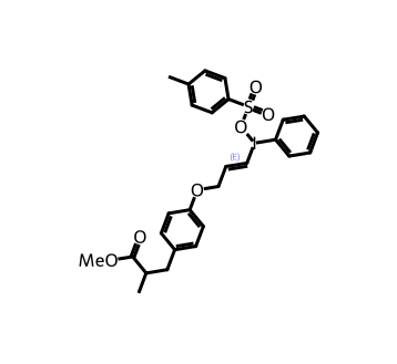 COC(=O)C(C)Cc1ccc(OC/C=C/I(OS(=O)(=O)c2ccc(C)cc2)c2ccccc2)cc1